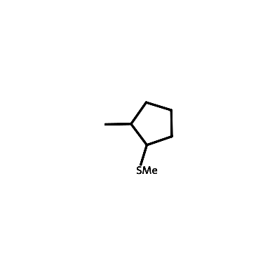 CSC1CCCC1C